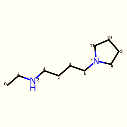 CCNCCCCN1CCCC1